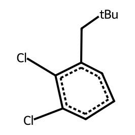 CC(C)(C)Cc1cccc(Cl)c1Cl